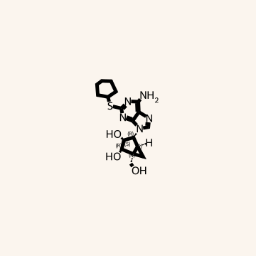 Nc1nc(SC2CCCCC2)nc2c1ncn2[C@H]1[C@H](O)[C@H](O)[C@]2(CO)C[C@H]12